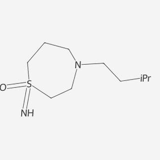 CC(C)CCN1CCCS(=N)(=O)CC1